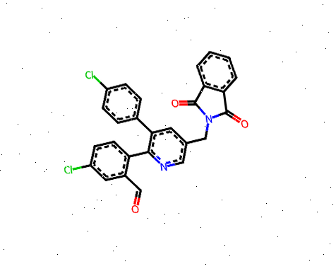 O=Cc1cc(Cl)ccc1-c1ncc(CN2C(=O)c3ccccc3C2=O)cc1-c1ccc(Cl)cc1